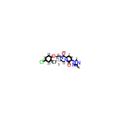 Cc1ncn(-c2ccc3n(c2=O)CCN(CCOc2ccc(Cl)cc2C(F)(F)F)C3=O)n1